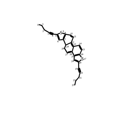 CCCC#Cc1cc2c(s1)C=CC1=c3ccc4sc(C#CCCC)cc4c3=CCC12